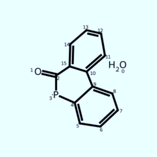 O.O=C1[P]c2ccccc2-c2ccccc21